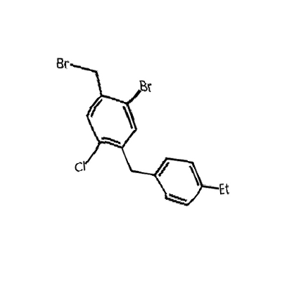 CCc1ccc(Cc2cc(Br)c(CBr)cc2Cl)cc1